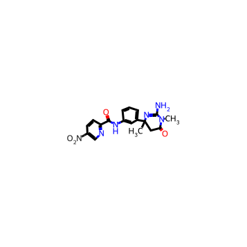 CN1C(=O)CC(C)(c2cccc(NC(=O)c3ccc([N+](=O)[O-])cn3)c2)N=C1N